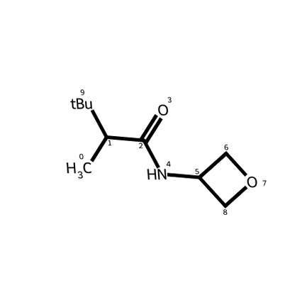 CC(C(=O)NC1COC1)C(C)(C)C